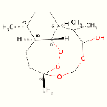 C[C@@H]1CC[C@@H]2[C@@H]3OO[C@@](C)(CC[C@H]31)OCOC(O)C2(C)C